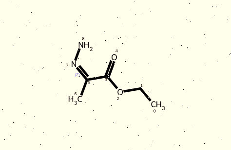 CCOC(=O)/C(C)=N\N